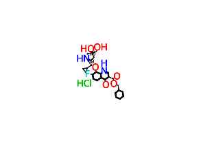 Cl.O=C(OCc1ccccc1)c1c[nH]c2c(OC(C3CC3)[C@@H]3C[C@@](O)(CO)CN3)c(F)ccc2c1=O